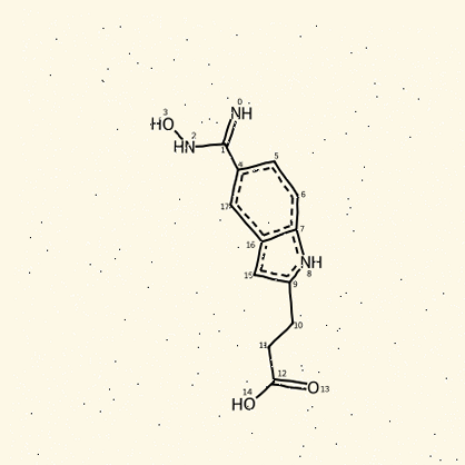 N=C(NO)c1ccc2[nH]c(CCC(=O)O)cc2c1